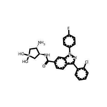 N[C@H]1CS(O)(O)C[C@@H]1NC(=O)c1ccc2c(-c3ccccc3Cl)nn(-c3ccc(F)cc3)c2c1